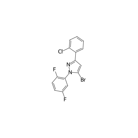 Fc1ccc(F)c(-n2nc(-c3ccccc3Cl)cc2Br)c1